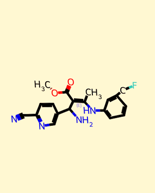 COC(=O)/C(=C(\C)Nc1cccc(CF)c1)C(N)c1ccc(C#N)nc1